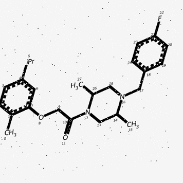 Cc1ccc(C(C)C)cc1OCC(=O)N1CC(C)N(Cc2ccc(F)cc2)CC1C